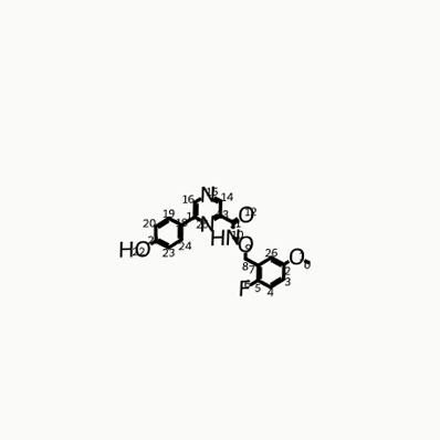 COc1ccc(F)c(CONC(=O)c2cncc(-c3ccc(O)cc3)n2)c1